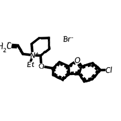 C=CC[N+]1(CC)CCCCC1Oc1ccc2c(c1)oc1cc(Cl)ccc12.[Br-]